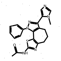 CC(=O)Nc1nc2c(s1)-c1c(c(-c3cncn3C)nn1-c1ccccc1)CCC2